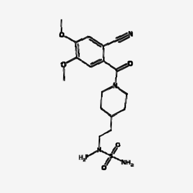 COc1cc(C#N)c(C(=O)N2CCC(CCN(P)S(N)(=O)=O)CC2)cc1OC